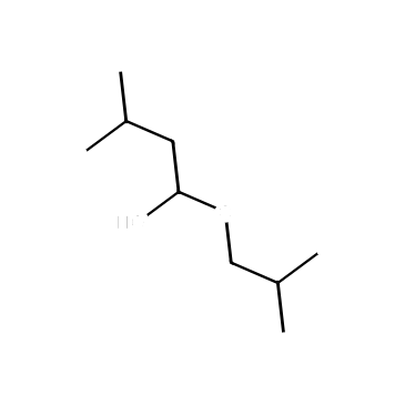 CC(C)COC(O)CC(C)C